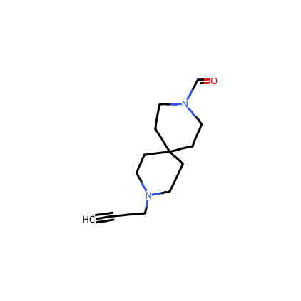 C#CCN1CCC2(CCN(C=O)CC2)CC1